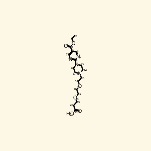 CCOC(=O)c1cnc(N2CCN(CCOCCOCCC(=O)O)CC2)nc1